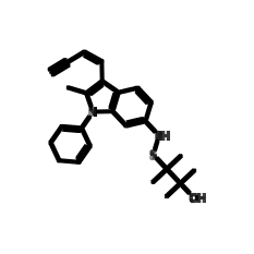 C#C/C=C\c1c(C)n(C2=CCCC=C2)c2cc(BSC(C)(C)C(C)(C)O)ccc12